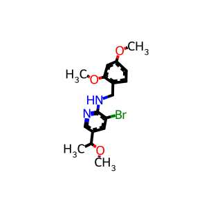 COc1ccc(CNc2ncc(C(C)OC)cc2Br)c(OC)c1